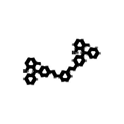 CCc1cccc(C)c1N(c1ccccc1)c1ccc(/C=C/c2cccc(/C=C/c3ccc(N(c4ccccc4)c4c(C)cccc4CC)cc3)c2)cc1